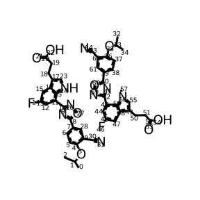 CC(C)Oc1ccc(-c2nc(-c3cc(F)cc4c(CCC(=O)O)c[nH]c34)no2)cc1C#N.CC(C)Oc1ccc(-c2nc(-c3cc(F)cc4c(CCC(=O)O)cn(C)c34)no2)cc1C#N